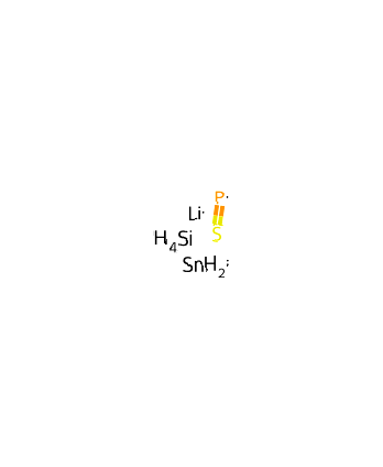 [Li].[P]=S.[SiH4].[SnH2]